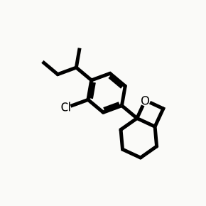 CCC(C)c1ccc(C23CCCCC2CO3)cc1Cl